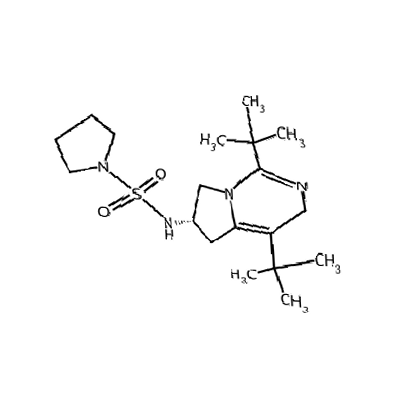 CC(C)(C)C1=NCC(C(C)(C)C)=C2C[C@H](NS(=O)(=O)N3CCCC3)CN12